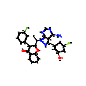 CC(c1oc2ccccc2c(=O)c1-c1cccc(F)c1)n1nc(-c2cc(O)cc(F)c2)c2c(N)ncnc21